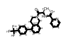 C[C@@H](NC(=O)c1ccccn1)C(=O)N1CCc2c(cccc2-c2ccc(C(F)(F)F)cc2)C1